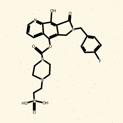 O=C(Oc1c2c(c(O)c3ncccc13)C(=O)N(Cc1ccc(F)cc1)C2)N1CCN(CCP(=O)(O)O)CC1